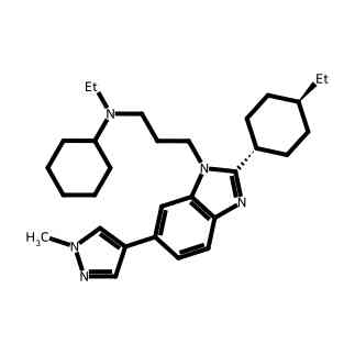 CCN(CCCn1c2cc(-c3cnn(C)c3)ccc2nc1[C@H]1CC[C@H](CC)CC1)C1CCCCC1